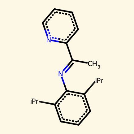 C/C(=N\c1c(C(C)C)cccc1C(C)C)c1ccccn1